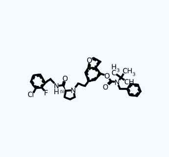 CC(C)(C)N(Cc1ccccc1)C(=O)Oc1cc(CCN2CCC[C@H]2C(=O)NCc2cccc(Cl)c2F)cc2occc12